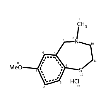 COc1ccc2c(c1)CN(C)CCS2.Cl